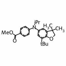 COC(=O)c1ccc(N(c2cc(C(C)(C)C)c3c(c2)C(C)(C)CO3)C(C)C)cc1